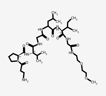 CCC(C)[C@H](NC(=O)C(CC(C)C)NC(=O)CNC(=O)[C@@H](NC(=O)[C@@H]1CCCN1C(=O)CCN)C(C)C)C(=O)NCC(=O)NCCOCCOC